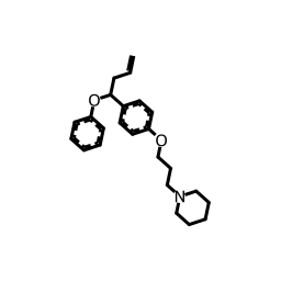 C=CCC(Oc1ccccc1)c1ccc(OCCCN2CCCCC2)cc1